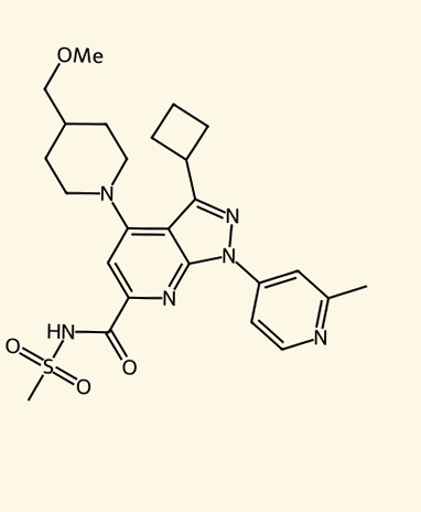 COCC1CCN(c2cc(C(=O)NS(C)(=O)=O)nc3c2c(C2CCC2)nn3-c2ccnc(C)c2)CC1